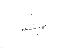 CCOCCCOCCCCCCCCN=[N+]=[N-]